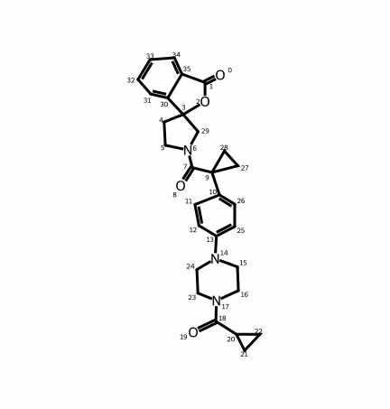 O=C1OC2(CCN(C(=O)C3(c4ccc(N5CCN(C(=O)C6CC6)CC5)cc4)CC3)C2)c2ccccc21